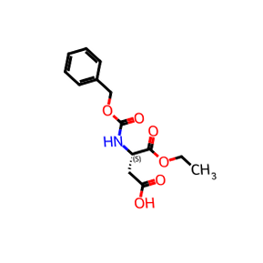 CCOC(=O)[C@H](CC(=O)O)NC(=O)OCc1ccccc1